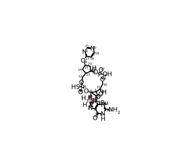 CC(C)(C)[Si](C)(C)OC1[C@H]2OP(=O)(S)OCC3C[C@@H](Oc4ccncn4)C[C@@H]3OP(=O)(O)OC[C@H]1O[C@H]2n1cnc2c(=O)[nH]c(N)nc21